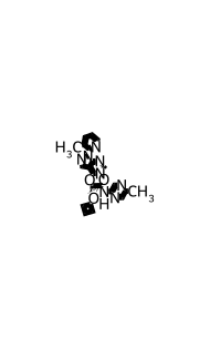 Cc1cnc(NC(=O)[C@H](COC2CCC2)Oc2ncnc3c2cnn3-c2ncccc2C)cn1